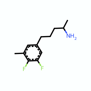 Cc1cc(CCCC(C)N)cc(F)c1F